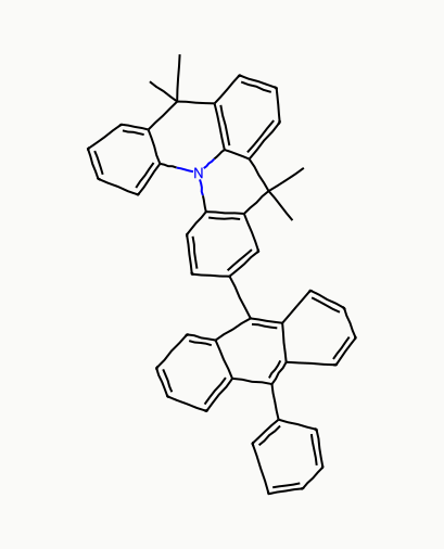 CC1(C)c2ccccc2N2c3ccc(-c4c5ccccc5c(-c5ccccc5)c5ccccc45)cc3C(C)(C)c3cccc1c32